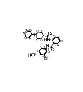 Cl.O=C(Nc1cccc(O)c1)c1ccccc1NC(=O)C1CCN(c2ccncc2)CC1